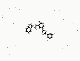 Cc1cccc(-c2noc(-c3ccc(C)c(NC(=O)c4cnc5ccccn45)c3)n2)n1